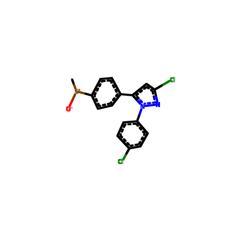 C[S+]([O-])c1ccc(-c2cc(Cl)nn2-c2ccc(Cl)cc2)cc1